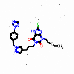 CCCCCn1c(=O)n(CCCc2cnn(Cc3ccc(-n4cncn4)cc3)c2)c(=O)c2[nH]c(Cl)nc21